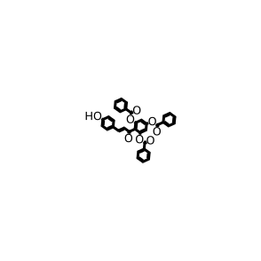 O=C(Oc1cc(OC(=O)c2ccccc2)c(C(=O)C=Cc2ccc(O)cc2)c(OC(=O)c2ccccc2)c1)c1ccccc1